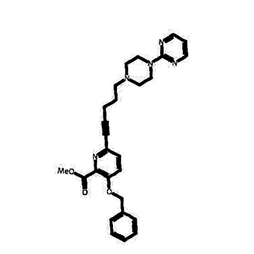 COC(=O)c1nc(C#CCCCN2CCN(c3ncccn3)CC2)ccc1OCc1ccccc1